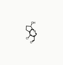 O=Cc1cnc2c(c1Cl)CC[C@H]2O